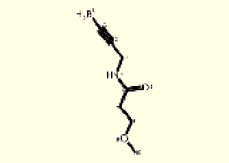 BC#CCNC(=O)CCOC